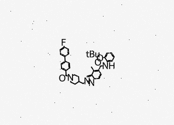 Cc1c(C(=O)Nc2ccccc2OC(C)(C)C)ccc2nn(CC3CCN(C(=O)c4ccc(-c5ccc(F)cc5)cc4)CC3)cc12